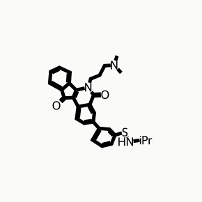 CC(C)NSc1cccc(-c2ccc3c4c(n(CCCN(C)C)c(=O)c3c2)-c2ccccc2C4=O)c1